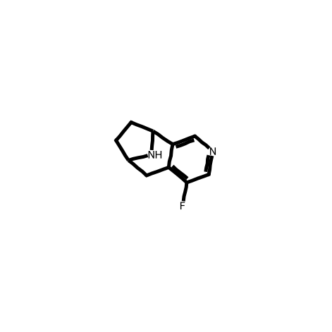 Fc1cncc2c1CC1CCC2N1